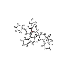 CC(C)(C)c1ccc(N(c2ccc3c(c2)-c2ccccc2C3(C)C)c2ccc3ccccc3c2-c2cccc(-c3ccccc3)c2)cc1